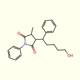 CC1C(=O)N(c2ccccc2)C(=O)C1C(CCCCO)c1ccccc1